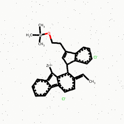 CC=c1ccc2c(c1C1C=C(CCO[Si](C)(C)C)c3ccccc31)[C]([Zr+2])=c1ccccc1=2.[Cl-].[Cl-]